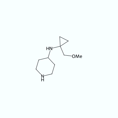 COCC1(NC2CCNCC2)CC1